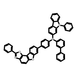 c1ccc(-c2cccc(N(c3ccc(-c4ccc5c(c4)oc4ccc6nc(-c7ccccc7)oc6c45)cc3)c3ccc4c5ccccc5n(-c5ccccc5)c4c3)c2)cc1